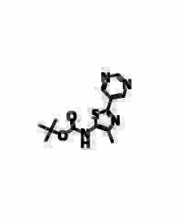 Cc1nc(-c2cncnc2)sc1NC(=O)OC(C)(C)C